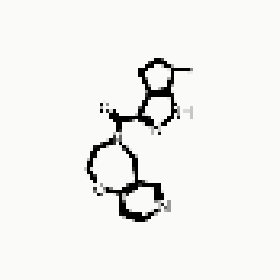 CC1CCc2c(C(=O)N3CCOc4ccncc4C3)n[nH]c21